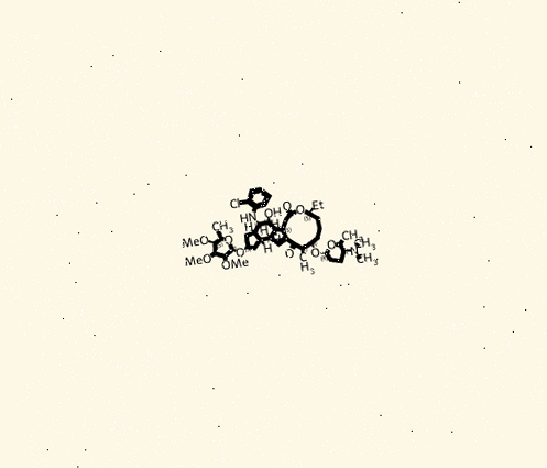 CC[C@H]1CCC[C@H](O[C@H]2CC[C@H](N(C)C)C(C)O2)[C@@H](C)C(=O)C2=C[C@H]3[C@@H]4C[C@H](O[C@@H]5OC(C)[C@H](OC)C(OC)C5OC)C[C@H]4[C@H](Nc4ccccc4Cl)[C@@H](O)[C@H]3[C@@H]2CC(=O)O1